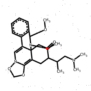 COC1c2ccccc2C2=CN3OCOC3=C3CC(C(C)CN(C)C)C(=O)CC23N1OC